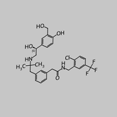 CC(C)(Cc1cccc(CC(=O)NCc2cc(C(F)(F)F)ccc2Cl)c1)NC[C@@H](O)c1ccc(O)c(CO)c1